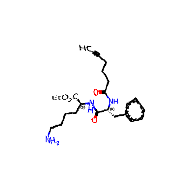 C#CCCCC(=O)N[C@H](Cc1ccccc1)C(=O)N[C@@H](CCCCN)C(=O)OCC